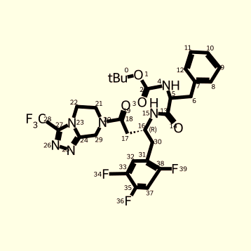 CC(C)(C)OC(=O)NC(Cc1ccccc1)C(=O)N[C@@H](CC(=O)N1CCn2c(nnc2C(F)(F)F)C1)Cc1cc(F)c(F)cc1F